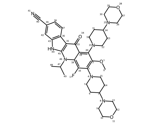 COc1c(N2CCC(N3CCOCC3)CC2)c(F)c2c(c1N1CCC(N3CCOCC3)CC1)c(=O)c1c3ccc(C#N)cc3[nH]c1n2C(C)C